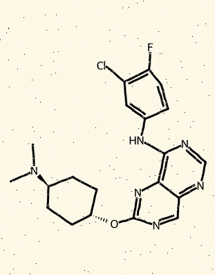 CN(C)[C@H]1CC[C@H](Oc2ncc3ncnc(Nc4ccc(F)c(Cl)c4)c3n2)CC1